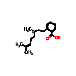 CC(C)=CCC[C@H](C)CCc1ccccc1C(=O)O